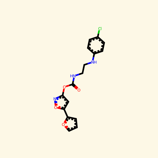 O=C(NCCNc1ccc(Cl)cc1)Oc1cc(-c2ccco2)on1